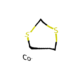 C1CSCS1.[Co]